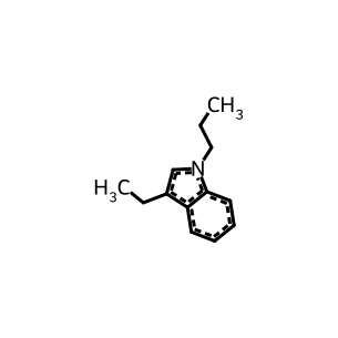 CCCn1cc(CC)c2ccccc21